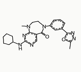 Cc1nnc(-c2cccc(N3CCN(C)c4nc(NC5CCCCC5)ncc4C3=O)c2)o1